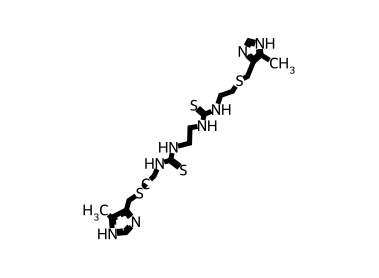 Cc1[nH]cnc1CSCCNC(=S)NCCNC(=S)NCCSCc1nc[nH]c1C